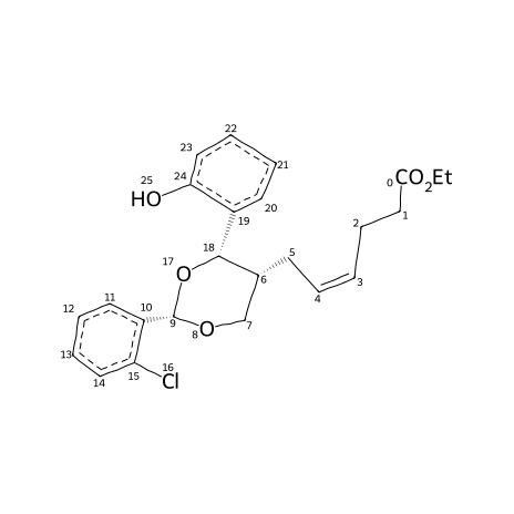 CCOC(=O)CC/C=C\C[C@@H]1CO[C@H](c2ccccc2Cl)O[C@@H]1c1ccccc1O